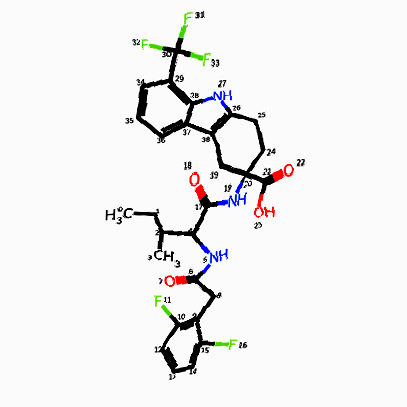 CCC(C)C(NC(=O)Cc1c(F)cccc1F)C(=O)N[C@]1(C(=O)O)CCc2[nH]c3c(C(F)(F)F)cccc3c2C1